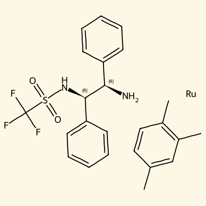 Cc1ccc(C)c(C)c1.N[C@H](c1ccccc1)[C@H](NS(=O)(=O)C(F)(F)F)c1ccccc1.[Ru]